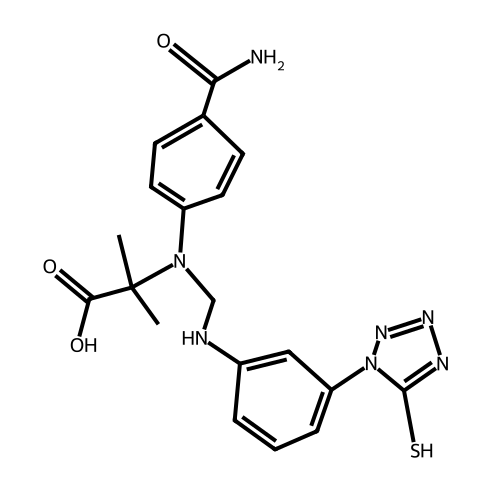 CC(C)(C(=O)O)N(CNc1cccc(-n2nnnc2S)c1)c1ccc(C(N)=O)cc1